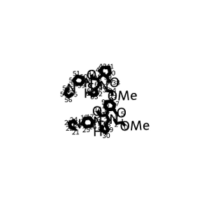 COCCN1C(=O)c2ccccc2C(C(=O)Nc2ccc(-n3cccc3)cc2)C1c1cccs1.COCCN1C(=O)c2ccccc2C(C(=O)Nc2cccc(-n3cccc3)c2)C1c1cccs1